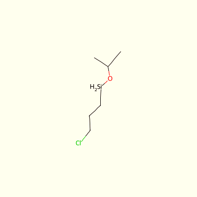 CC(C)O[SiH2]CCCCl